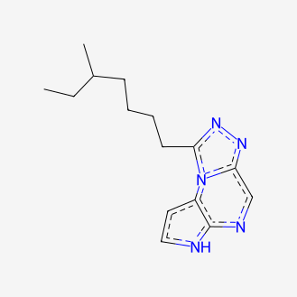 CCC(C)CCCCc1nnc2cnc3[nH]ccc3n12